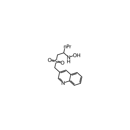 CCCC(CS(=O)(=O)Cc1cnc2ccccc2c1)NO